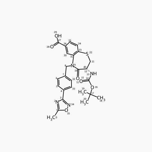 Cc1nc(-c2ccc(CN3C(=O)[C@@H](NC(=O)OC(C)(C)C)CSc4ccc(C(=O)O)cc43)cc2)no1